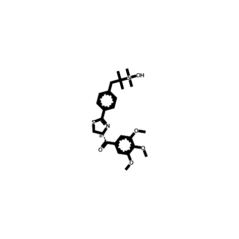 COc1cc(C(=O)[C@@H]2CSC(c3ccc(CC(C)(C)[Si](C)(C)O)cc3)=N2)cc(OC)c1OC